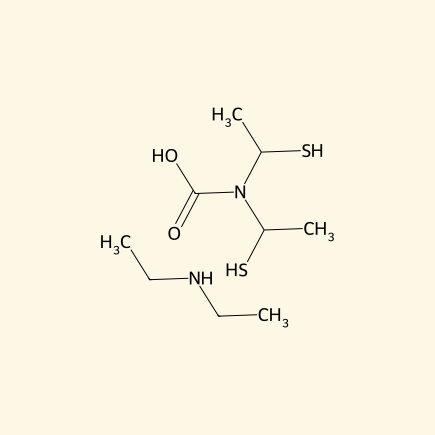 CC(S)N(C(=O)O)C(C)S.CCNCC